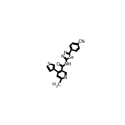 Cc1cc(-c2ccsc2)c(C(=O)Nc2nnc(-c3ccc(C#N)cc3)[se]2)cn1